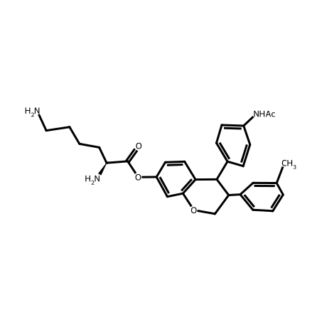 CC(=O)Nc1ccc(C2c3ccc(OC(=O)[C@@H](N)CCCCN)cc3OCC2c2cccc(C)c2)cc1